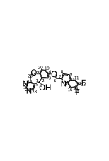 OC1c2cc(OCc3ccc4cc(F)c(F)cc4n3)ccc2OCc2ncncc21